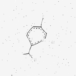 CC(N)c1ccc(Br)cn1.N